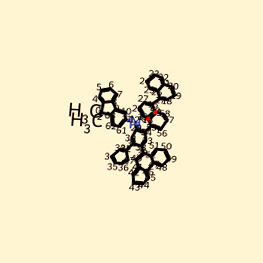 CC1(C)c2ccccc2-c2cc(N(c3ccc(-c4cccc5ccccc45)cc3)c3cc(-c4ccccc4)c(-c4cc5ccccc5c5ccccc45)cc3-c3ccccc3)ccc21